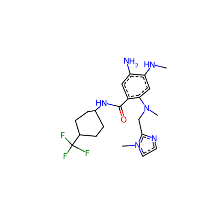 CNc1cc(N(C)Cc2nccn2C)c(C(=O)NC2CCC(C(F)(F)F)CC2)cc1N